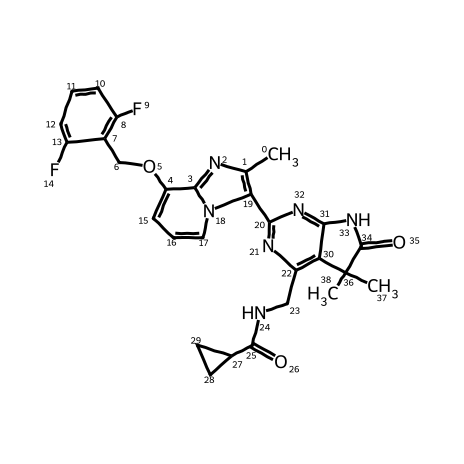 Cc1nc2c(OCc3c(F)cccc3F)cccn2c1-c1nc(CNC(=O)C2CC2)c2c(n1)NC(=O)C2(C)C